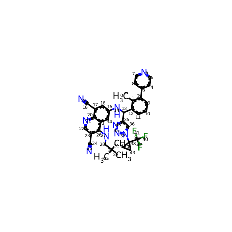 Cc1c(-c2ccncc2)cccc1C(Nc1cc(C#N)c2ncc(C#N)c(NCC(C)(C)C)c2c1)c1cn(C2(C(F)(F)F)CC2)nn1